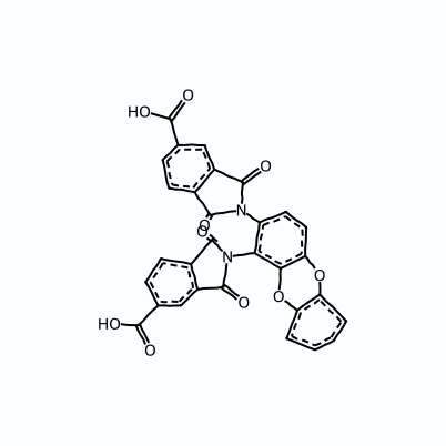 O=C(O)c1ccc2c(c1)C(=O)N(c1ccc3c(c1N1C(=O)c4ccc(C(=O)O)cc4C1=O)Oc1ccccc1O3)C2=O